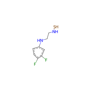 Fc1ccc(NCCNS)cc1F